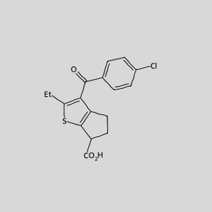 CCc1sc2c(c1C(=O)c1ccc(Cl)cc1)CCC2C(=O)O